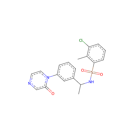 Cc1c(Cl)cccc1S(=O)(=O)NC(C)c1cccc(-n2ccncc2=O)c1